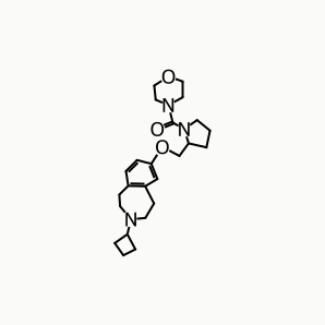 O=C(N1CCOCC1)N1CCCC1COc1ccc2c(c1)CCN(C1CCC1)CC2